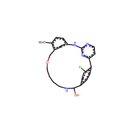 COc1ccc2cc1COCCCCNC(O)c1ccc(c(F)c1)-c1ccnc(n1)N2